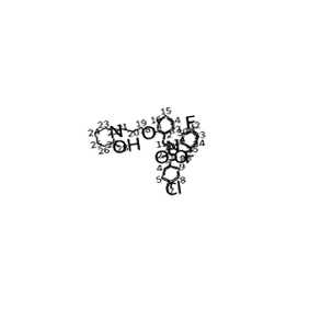 O=S(=O)(c1ccc(Cl)cc1)N(Cc1ccccc1OCCCN1CCCCC1O)c1cc(F)ccc1F